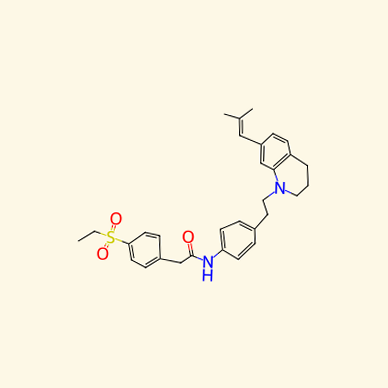 CCS(=O)(=O)c1ccc(CC(=O)Nc2ccc(CCN3CCCc4ccc(C=C(C)C)cc43)cc2)cc1